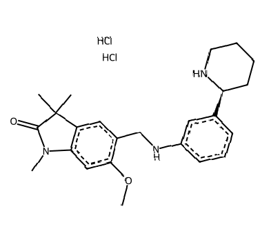 COc1cc2c(cc1CNc1cccc([C@@H]3CCCCN3)c1)C(C)(C)C(=O)N2C.Cl.Cl